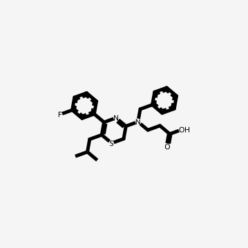 CC(C)CC1=C(c2cccc(F)c2)N=C(N(CCC(=O)O)Cc2ccccc2)CS1